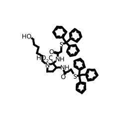 O=C(CSC(c1ccccc1)(c1ccccc1)c1ccccc1)NC1CCN(CCCCCCO)[C@]1(NC(=O)CSC(c1ccccc1)(c1ccccc1)c1ccccc1)C(=O)O